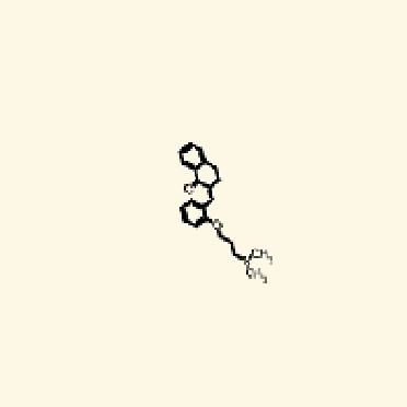 CN(C)CCCOc1ccccc1/C=C1/CCc2ccccc2C1=O